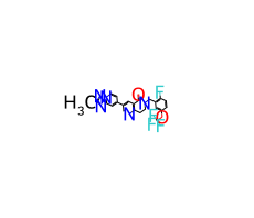 Cc1nc2cc(-c3cnc4c(c3)C(=O)N(Cc3cc(OC(F)(F)F)ccc3F)CC4)ccn2n1